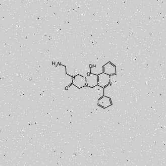 NCCN1CCN(Cc2c(-c3ccccc3)nc3ccccc3c2C(=O)O)CC1=O